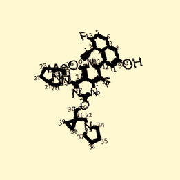 C#Cc1c(F)ccc2cc(O)cc(-c3nc(OC)c4c(N5CC6CCC(C5)N6)nc(OCC5(CN6CCCC6)CC5)nc4c3F)c12